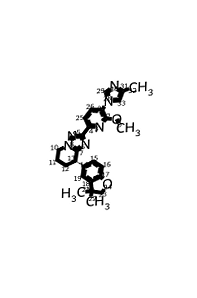 COc1nc(-c2nc3n(n2)CCC[C@H]3c2ccc3c(c2)C(C)(C)CO3)ccc1-n1cnc(C)c1